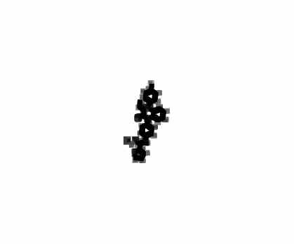 CCCC(=O)N(c1ccc(N=C(N)c2cccs2)cc1)c1ccccc1Nc1ccc(C)cc1